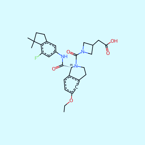 CCOc1ccc2c(c1)CCN(C(=O)N1CC(CC(=O)O)C1)[C@H]2C(=O)Nc1cc(F)c2c(c1)CCC2(C)C